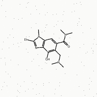 CCc1nc2c(O)c(CN(C)C)c(C(=O)N(C)C)cc2n1C